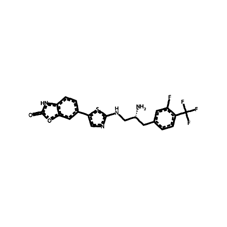 N[C@@H](CNc1ncc(-c2ccc3[nH]c(=O)oc3c2)s1)Cc1ccc(C(F)(F)F)c(F)c1